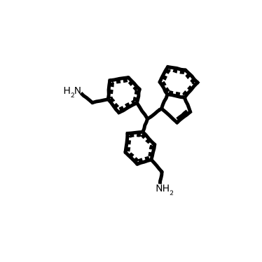 NCc1cccc(C([C]2C=Cc3ccccc32)c2cccc(CN)c2)c1